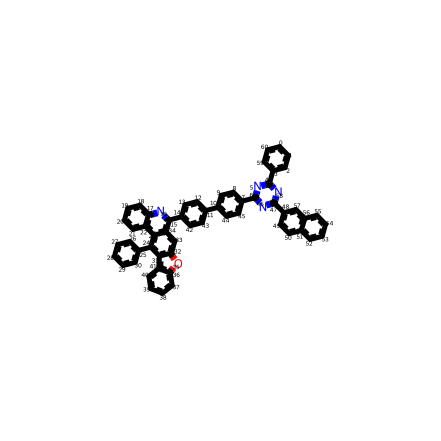 c1ccc(-c2nc(-c3ccc(-c4ccc(-c5nc6ccccc6c6c(-c7ccccc7)c7c(cc56)oc5ccccc57)cc4)cc3)nc(-c3ccc4ccccc4c3)n2)cc1